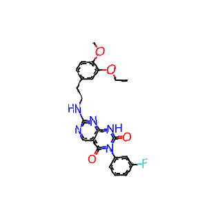 CCOc1cc(CCNc2ncc3c(=O)n(-c4cccc(F)c4)c(=O)[nH]c3n2)ccc1OC